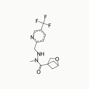 CN(NCc1ccc(C(F)(F)F)cn1)C(=O)C12COC(C1)C2